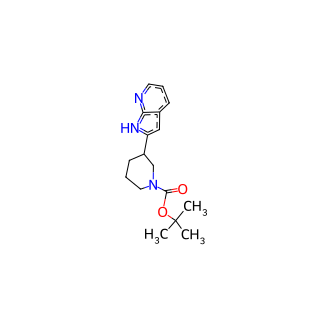 CC(C)(C)OC(=O)N1CCCC(c2cc3cccnc3[nH]2)C1